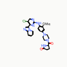 COc1cc(N2CCN(C(=O)C3CCC(=O)N3)CC2)ccc1Nc1ncc(Cl)c(-c2cnc3ccccn23)n1